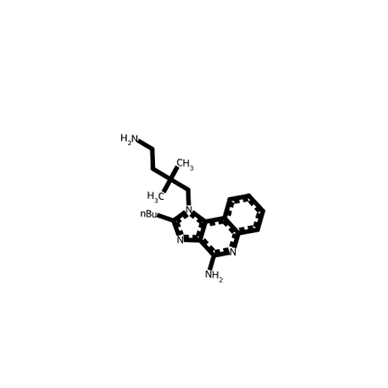 CCCCc1nc2c(N)nc3ccccc3c2n1CC(C)(C)CCN